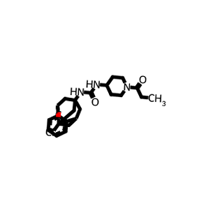 CCC(=O)N1CCC(NC(=O)NC23CC4CC(Cl)(CC(C2)c2ccccc24)C3)CC1